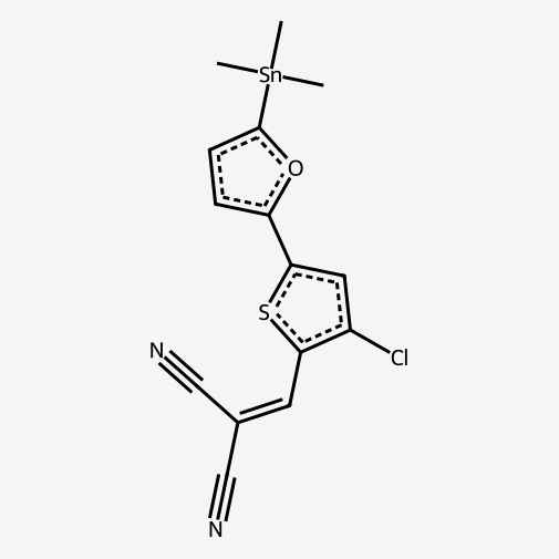 [CH3][Sn]([CH3])([CH3])[c]1ccc(-c2cc(Cl)c(C=C(C#N)C#N)s2)o1